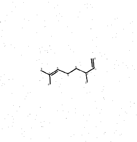 C=[C]C(C)CCC=C(C)C